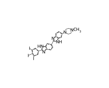 CN1CCN(c2ccc3nc(-c4ccc5nc(-c6cc(I)c(I)c(I)c6)[nH]c5c4)[nH]c3c2)CC1